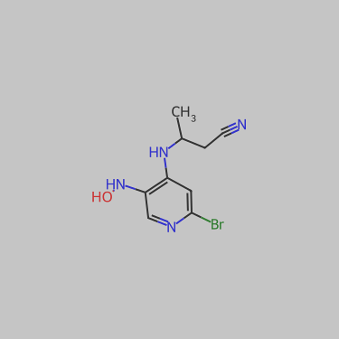 CC(CC#N)Nc1cc(Br)ncc1NO